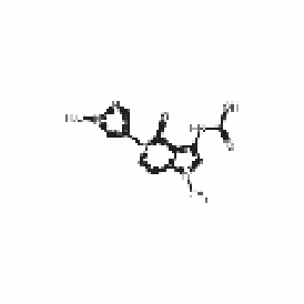 Cn1cc(-n2ccc3c(c(NC(=O)O)cn3C)c2=O)cn1